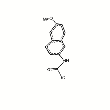 CCC(=O)Nc1ccc2cc(OC)ccc2c1